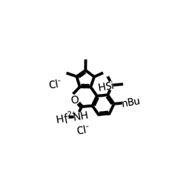 CCCCc1ccc(C(=O)[NH][Hf+2])c(C2=C(C)C(C)=C(C)C2C)c1[SiH](C)C.[Cl-].[Cl-]